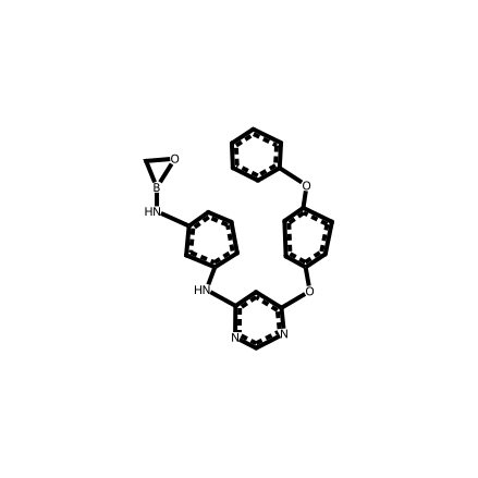 c1ccc(Oc2ccc(Oc3cc(Nc4cccc(NB5CO5)c4)ncn3)cc2)cc1